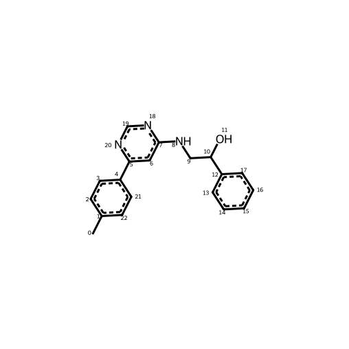 Cc1ccc(-c2cc(NCC(O)c3ccccc3)ncn2)cc1